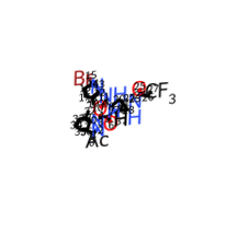 CC(=O)c1nn(CC(=O)N2[C@H](C(=O)Nc3nc(Br)ccc3C)C[C@@]3(CNC(=O)CC(F)(F)F)C[C@@H]23)c2c(C)cccc12